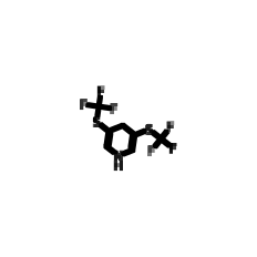 FC(F)(F)SC1=CNC=C(SC(F)(F)F)C1